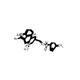 Cc1ccc(S(=O)(=O)OCC2C[C@@H]3c4cccc5[nH]c(Br)c(c45)C[C@H]3N(C)C2)cc1